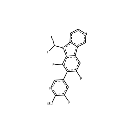 CC(C)(C)c1ncc(-c2c(F)cc3c4cnccc4n(C(F)F)c3c2F)cc1F